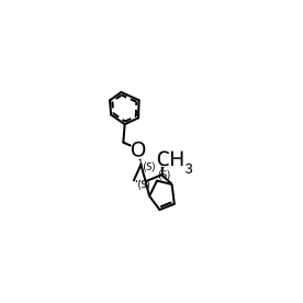 C[C@H]1C2C=CC(C2)[C@]12C[C@@H]2OCc1ccccc1